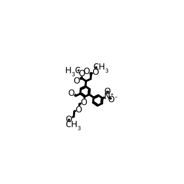 COCCOCOc1c(C=O)cc(C(CC(=O)OC)C(=O)OC)cc1-c1cccc([N+](=O)[O-])c1